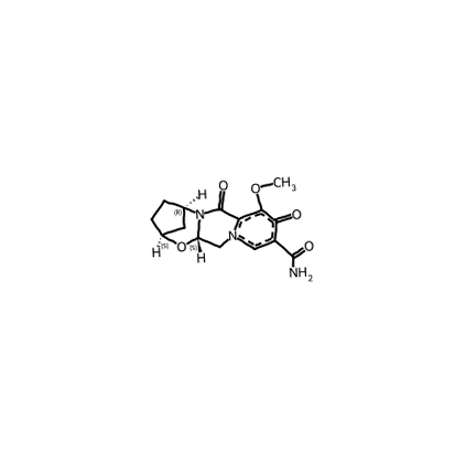 COc1c2n(cc(C(N)=O)c1=O)C[C@@H]1O[C@H]3CC[C@H](C3)N1C2=O